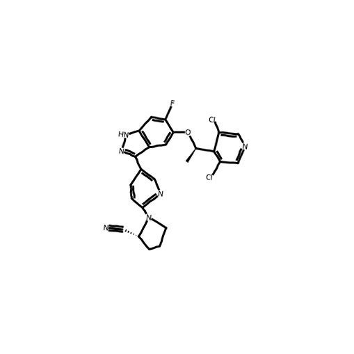 C[C@@H](Oc1cc2c(-c3ccc(N4CCC[C@@H]4C#N)nc3)n[nH]c2cc1F)c1c(Cl)cncc1Cl